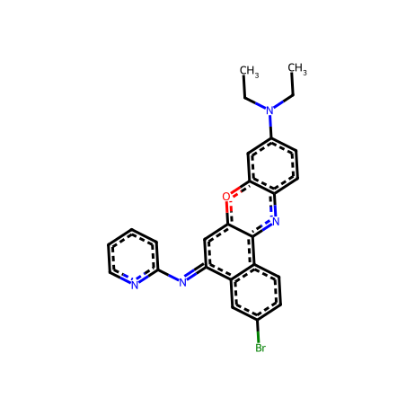 CCN(CC)c1ccc2nc3c4ccc(Br)cc4c(=Nc4ccccn4)cc-3oc2c1